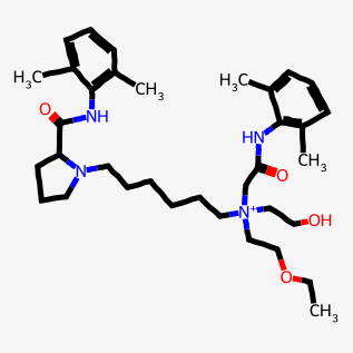 CCOCC[N+](CCO)(CCCCCCN1CCCC1C(=O)Nc1c(C)cccc1C)CC(=O)Nc1c(C)cccc1C